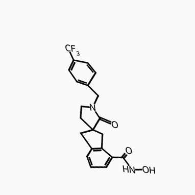 O=C(NO)c1cccc2c1CC1(CCN(Cc3ccc(C(F)(F)F)cc3)C1=O)C2